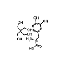 N[C@@H](Cc1ccc(O)c(O)c1)C(=O)O.OCC(CO)(CO)CO